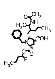 CCCC(F)OC(=O)[C@H]1C[C@@H](CO)[C@@H](CC(CCC)C(C)NC(C)=O)N1Cc1ccccc1